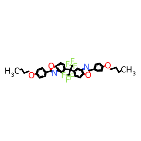 CCCCOc1ccc(-c2nc3cc(C(c4ccc5oc(-c6ccc(OCCCC)cc6)nc5c4)(C(F)(F)F)C(F)(F)F)ccc3o2)cc1